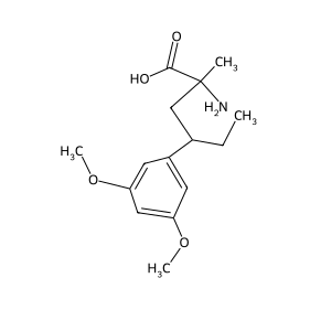 CCC(CC(C)(N)C(=O)O)c1cc(OC)cc(OC)c1